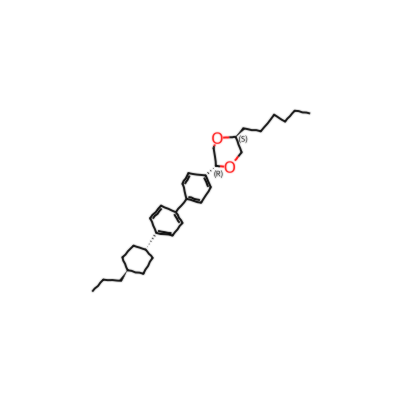 CCCCCC[C@H]1CO[C@H](c2ccc(-c3ccc([C@H]4CC[C@H](CCC)CC4)cc3)cc2)CO1